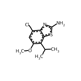 COc1cc(Cl)c2nc(N)sc2c1C(C)C